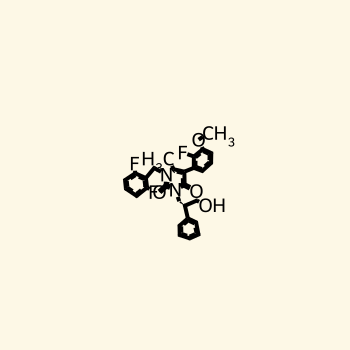 COc1cccc(-c2c(C)n(Cc3c(F)cccc3F)c(=O)n(C[C@H](CO)c3ccccc3)c2=O)c1F